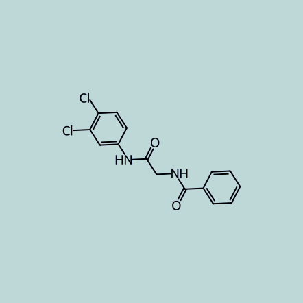 O=C(CNC(=O)c1ccccc1)Nc1ccc(Cl)c(Cl)c1